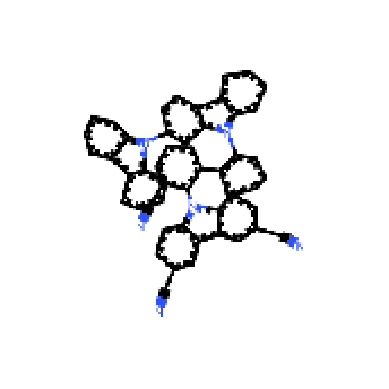 N#Cc1ccc2c(c1)c1cc(C#N)ccc1n2-c1c(C#N)cccc1-c1ccccc1-n1c2ccccc2c2ccc(-n3c4ccccc4c4ccccc43)cc21